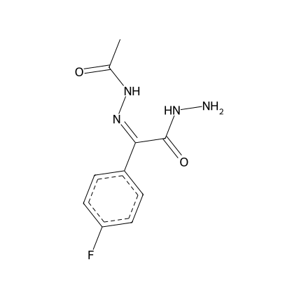 CC(=O)NN=C(C(=O)NN)c1ccc(F)cc1